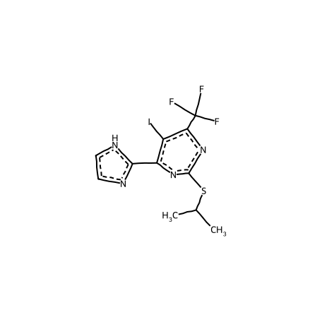 CC(C)Sc1nc(-c2ncc[nH]2)c(I)c(C(F)(F)F)n1